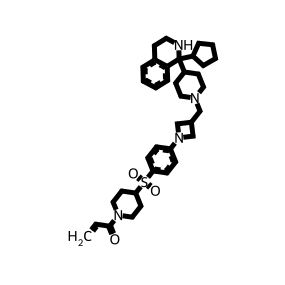 C=CC(=O)N1CCC(S(=O)(=O)c2ccc(N3CC(CN4CCC(C5(C6CCCC6)NCCc6ccccc65)CC4)C3)cc2)CC1